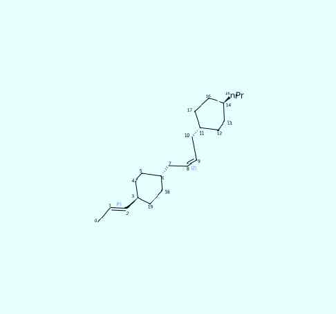 C/C=C/[C@H]1CC[C@H](C/C=C\C[C@H]2CC[C@H](CCC)CC2)CC1